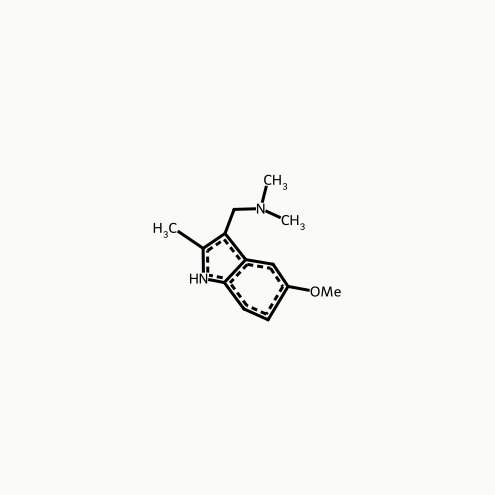 COc1ccc2[nH]c(C)c(CN(C)C)c2c1